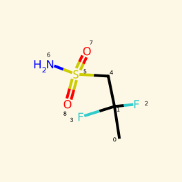 CC(F)(F)CS(N)(=O)=O